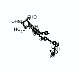 C#C[C@H]1CC(F)(F)CN1C(=O)CNC(=O)c1ccnc2ccc(OCCCC3CCN(C(=O)CCCCCC(=O)N/N=C\C(C/C=N/NCN/N=C/c4ccc(C)cc4)NC(=O)CN4CCN(COC=O)CCN(COC=O)CCN(CC(=O)O)CC4)CC3)cc12